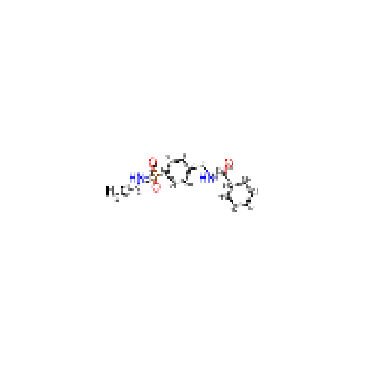 CCNS(=O)(=O)c1ccc(CNC(=O)c2ccccc2)cc1